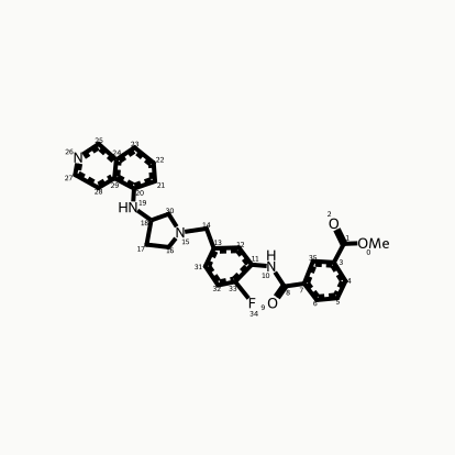 COC(=O)c1cccc(C(=O)Nc2cc(CN3CCC(Nc4cccc5cnccc45)C3)ccc2F)c1